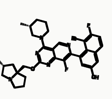 CCc1c(F)ccc2cc(O)cc(-c3ncc4c(N5CCC[C@@H](C)C5)nc(OC[C@@]56CCCN5C[C@H](F)C6)nc4c3F)c12